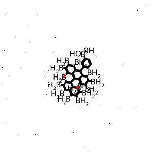 Bc1c(B)c(B)c2c(-c3c4c(B)c(B)c(B)c(B)c4c(-c4cccc(B(O)O)c4)c4c(B)c(B)c(B)c(B)c34)c(B)c(B)c(B)c2c1B